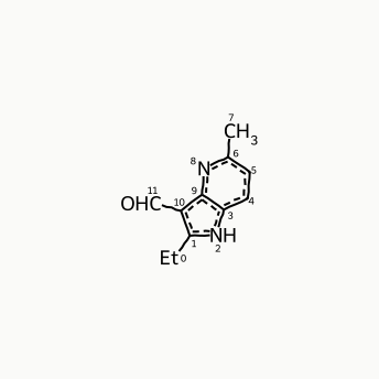 CCc1[nH]c2ccc(C)nc2c1C=O